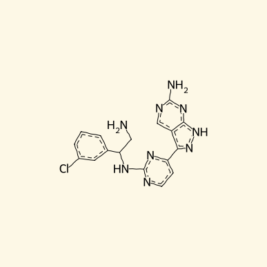 NCC(Nc1nccc(-c2n[nH]c3nc(N)ncc23)n1)c1cccc(Cl)c1